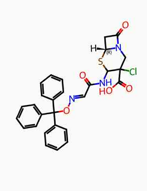 O=C(C=NOC(c1ccccc1)(c1ccccc1)c1ccccc1)NC1S[C@@H]2CC(=O)N2CC1(Cl)C(=O)O